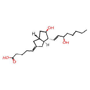 CCCCC[C@@H](O)/C=C/[C@@H]1[C@H]2C/C(=C/CCCC(=O)O)C[C@@H]2C[C@H]1O